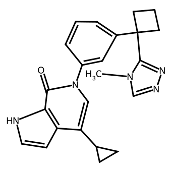 Cn1cnnc1C1(c2cccc(-n3cc(C4CC4)c4cc[nH]c4c3=O)c2)CCC1